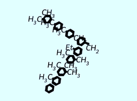 C=Cc1ccccc1.CCc1ccccc1.Cc1ccc(C)cc1.Cc1cccc(C)c1.Cc1cccc(C)c1C.Cc1ccccc1.Cc1ccccc1.Cc1ccccc1C.c1ccccc1